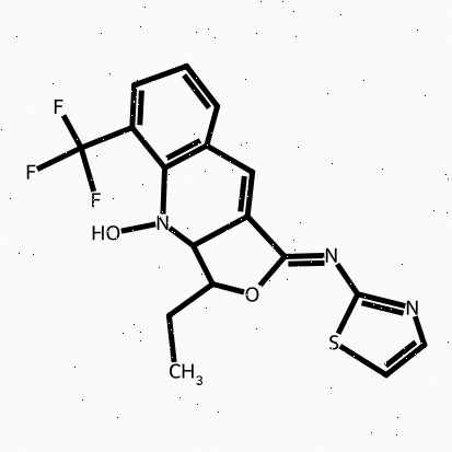 CCC1OC(=Nc2nccs2)C2=Cc3cccc(C(F)(F)F)c3N(O)C21